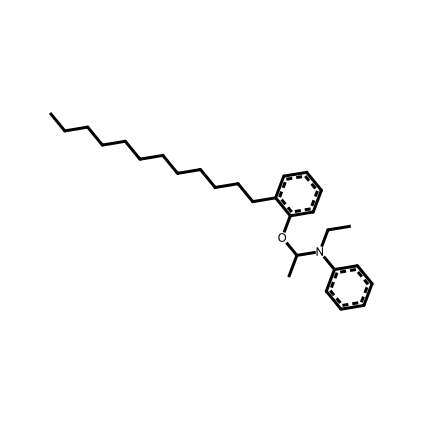 CCCCCCCCCCCCc1ccccc1OC(C)N(CC)c1ccccc1